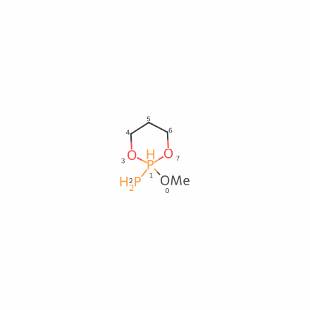 CO[PH]1(P)OCCCO1